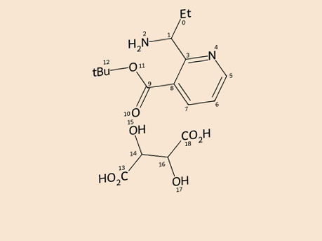 CCC(N)c1ncccc1C(=O)OC(C)(C)C.O=C(O)C(O)C(O)C(=O)O